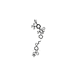 C[C@@H]1CC(OCCC[C@H]2CC[C@H](N3C(=S)N(c4ccc(C#N)c(C(F)(F)F)c4)C(=O)C3(C)C)CC2)C[C@H](C)N1C(=O)OC(C)(C)C